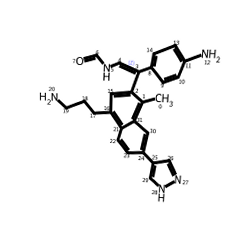 Cc1c(/C(=C\NC=O)c2ccc(N)cc2)cc(CCCN)c2ccc(-c3cn[nH]c3)cc12